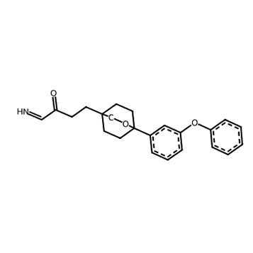 N=CC(=O)CCC12CCC(c3cccc(Oc4ccccc4)c3)(CC1)OC2